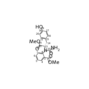 COC(=O)c1ccccc1N(C(N)=O)[C@@H](Cc1ccc(O)cc1)C(=O)OC